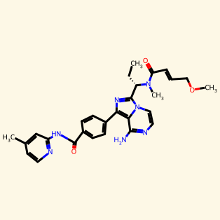 CC[C@@H](c1nc(-c2ccc(C(=O)Nc3cc(C)ccn3)cc2)c2c(N)nccn12)N(C)C(=O)/C=C/COC